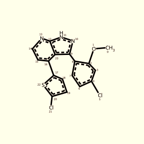 COc1cc(Cl)ccc1-c1n[nH]c2nccc(-c3ccc(Cl)s3)c12